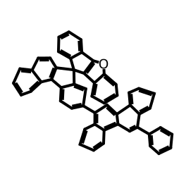 c1ccc(-c2cc3c4ccccc4c(-c4ccc5c(c4)C4(c6ccccc6-c6oc7ccccc7c64)c4ccc6ccccc6c4-5)cc3c3ccccc23)cc1